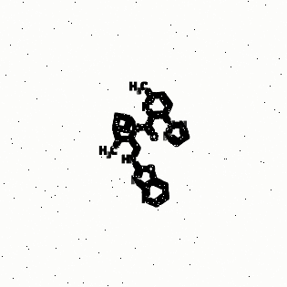 Cc1ccc(-n2nccn2)c(C(=O)N2C3CC(C3)C(C)C2CNc2nc3ncccc3o2)n1